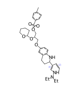 C/C=C\C(=C/NN(CC)CC)C1CCc2cc(OCC(COS(=O)(=O)c3ccc(C)cc3)OC3CCCCO3)ccc2N1